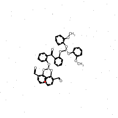 COc1ccccc1OP(Oc1ccccc1OC)Oc1ccccc1C(=O)c1ccccc1OP(Oc1ccccc1C=O)Oc1ccccc1C=O